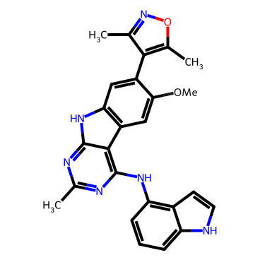 COc1cc2c(cc1-c1c(C)noc1C)[nH]c1nc(C)nc(Nc3cccc4[nH]ccc34)c12